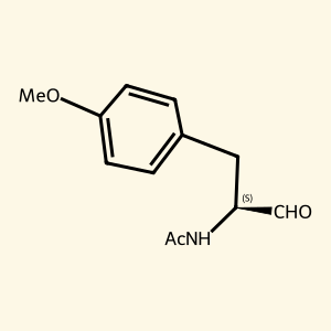 COc1ccc(C[C@@H](C=O)NC(C)=O)cc1